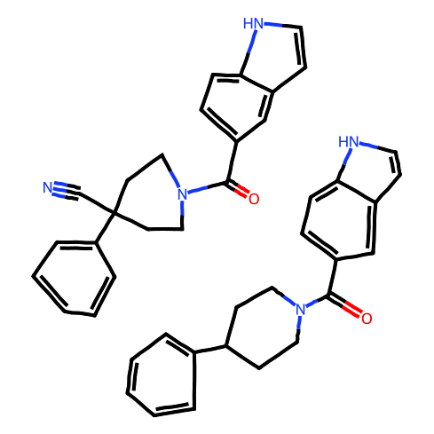 N#CC1(c2ccccc2)CCN(C(=O)c2ccc3[nH]ccc3c2)CC1.O=C(c1ccc2[nH]ccc2c1)N1CCC(c2ccccc2)CC1